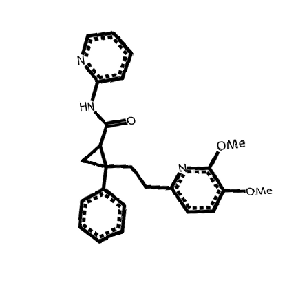 COc1ccc(CCC2(c3ccccc3)CC2C(=O)Nc2ccccn2)nc1OC